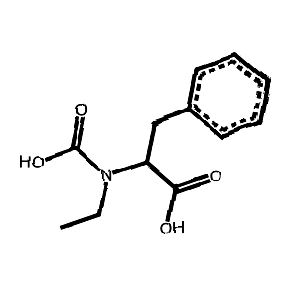 CCN(C(=O)O)C(Cc1ccccc1)C(=O)O